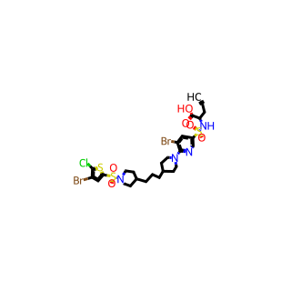 C#CCC(NS(=O)(=O)c1cnc(N2CCC(CCCC3CCN(S(=O)(=O)c4cc(Br)c(Cl)s4)CC3)CC2)c(Br)c1)C(=O)O